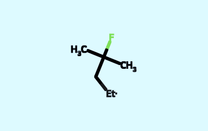 C[CH]CC(C)(C)F